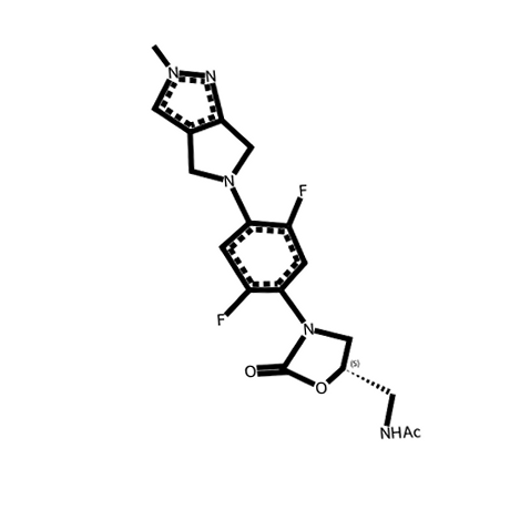 CC(=O)NC[C@H]1CN(c2cc(F)c(N3Cc4cn(C)nc4C3)cc2F)C(=O)O1